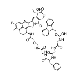 CC[C@@]1(O)C(=O)OCc2c1cc1n(c2=O)Cc2c-1nc1cc(F)c(C)c3c1c2[C@@H](NC(=O)COCNC(=O)CNC(=O)[C@H](Cc1ccccc1)NC(=O)CNC(=O)CNC(O)OCC1c2ccccc2-c2ccccc21)CC3